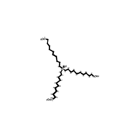 CCCCCCCCCCCCCCCCCCCC[Si](O)(CCCCCCCCCCCCCCCCCCCC)CCCCCCCCCCCCCCCCCCCC